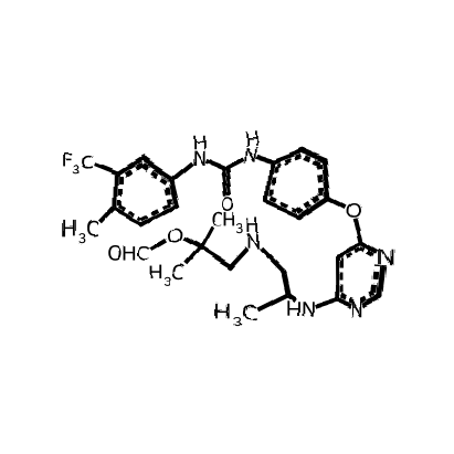 Cc1ccc(NC(=O)Nc2ccc(Oc3cc(NC(C)CNCC(C)(C)OC=O)ncn3)cc2)cc1C(F)(F)F